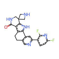 O=C1NCC2(CNC2)c2[nH]c3c(c21)CCc1cnc(-c2ccc(F)nc2F)cc1-3